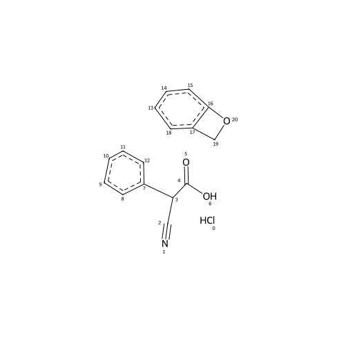 Cl.N#CC(C(=O)O)c1ccccc1.c1ccc2c(c1)CO2